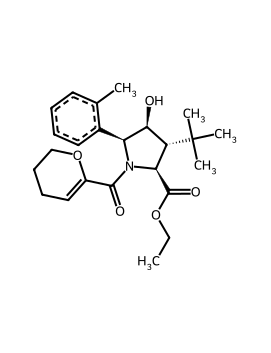 CCOC(=O)[C@@H]1[C@@H](C(C)(C)C)[C@H](O)[C@H](c2ccccc2C)N1C(=O)C1=CCCCO1